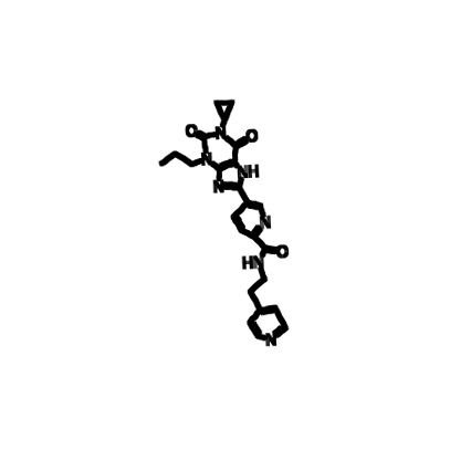 CCCn1c(=O)n(C2CC2)c(=O)c2[nH]c(-c3ccc(C(=O)NCCc4ccncc4)nc3)nc21